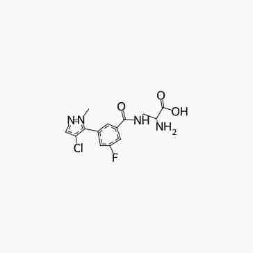 Cn1ncc(Cl)c1-c1cc(F)cc(C(=O)NC[C@@H](N)C(=O)O)c1